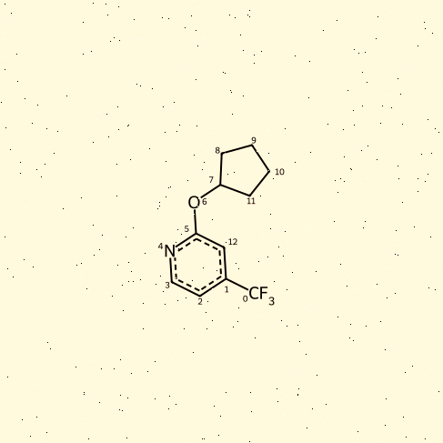 FC(F)(F)c1ccnc(OC2CCCC2)c1